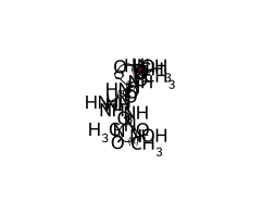 CC(C)C[C@H]1C(=O)N[C@H](C(=O)N[C@@H](CCCNC(=N)N)C(=O)NCCNC(=O)CN2CCN(C)CC(=O)CC[C@@H](C)N(CC(=O)O)CC2)Cc2ccc(cc2)OCCC[C@@H]1C(=O)NO